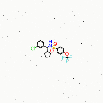 O=S(=O)(NC(c1cccc(Cl)c1)C1CCCC1)c1ccc(OC(F)(F)F)cc1